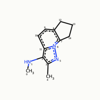 CNc1c(C)nn2c3c(ccc12)CCC3